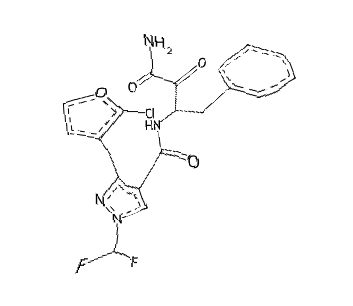 NC(=O)C(=O)C(Cc1ccccc1)NC(=O)c1cn(C(F)F)nc1-c1ccoc1Cl